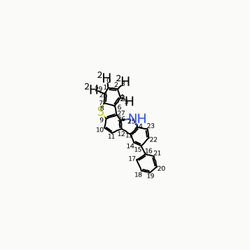 [2H]c1c([2H])c([2H])c2c(sc3ccc4c5cc(-c6ccccc6)ccc5[nH]c4c32)c1[2H]